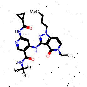 [2H]C([2H])([2H])NC(=O)c1cnc(NC(=O)C2CC2)cc1Nc1nn(CCCOC)c2ccn(CC(F)(F)F)c(=O)c12